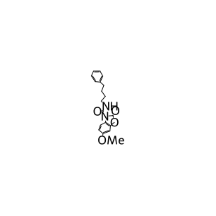 COc1ccc2c(c1)oc(=O)n2C(=O)NCCCCc1ccccc1